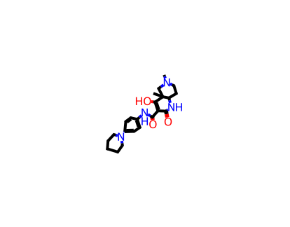 CN1CCC2NC(=O)C(C(=O)Nc3ccc(N4CCCCC4)cc3)=C(O)C2(C)C1